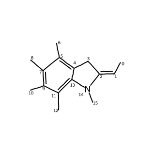 C/C=C1\Cc2c(C)c(C)c(C)c(C)c2N1C